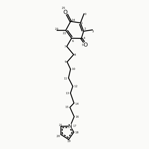 CC1=C(C)C(=O)C(CCCCCCCCCCn2cccc2)=C(C)C1=O